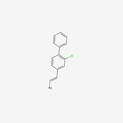 CC(=O)C=Cc1ccc(-c2ccccc2)c(Cl)c1